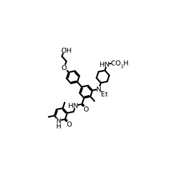 CCN(c1cc(-c2ccc(OCCO)cc2)cc(C(=O)NCc2c(C)cc(C)[nH]c2=O)c1C)C1CCC(NC(=O)O)CC1